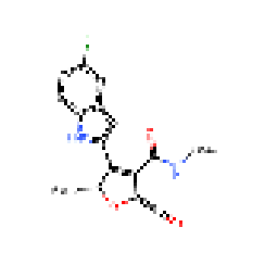 CCCCCC1OC(=C=O)C(C(=O)NOC)=C1c1cc2cc(Cl)ccc2[nH]1